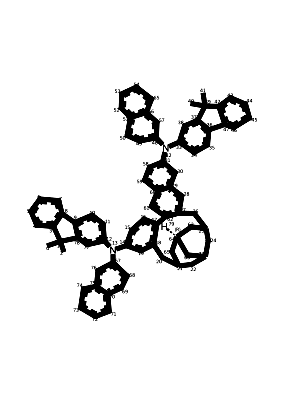 CC1(C)c2ccccc2-c2ccc(N(c3ccc4c(c3)CC3CC5CC(Cc6cc7cc(N(c8ccc9c(c8)C(C)(C)c8ccccc8-9)c8ccc9ccccc9c8)ccc7cc6-4)C[C@H](C3)C5)c3ccc4ccccc4c3)cc21